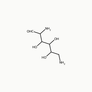 NCC(O)C(O)C(O)C(N)C=O